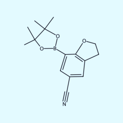 CC1(C)OB(c2cc(C#N)cc3c2OCC3)OC1(C)C